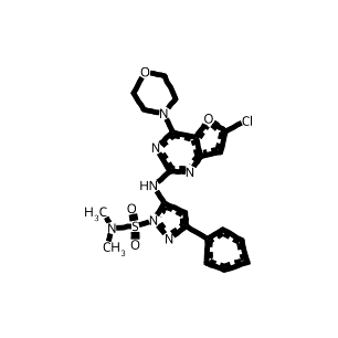 CN(C)S(=O)(=O)n1nc(-c2ccccc2)cc1Nc1nc(N2CCOCC2)c2oc(Cl)cc2n1